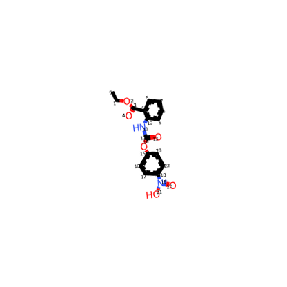 CCOC(=O)c1ccccc1NC(=O)Oc1ccc([N+](=O)O)cc1